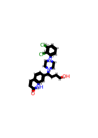 O=c1ccc2ccc(C(CCCO)N3CCN(c4cccc(Cl)c4Cl)CC3)cc2[nH]1